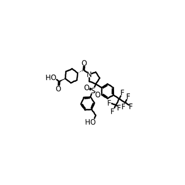 O=C(O)[C@H]1CC[C@H](C(=O)N2CCC(c3ccc(C(F)(C(F)(F)F)C(F)(F)F)cc3)(S(=O)(=O)c3cccc(CO)c3)C2)CC1